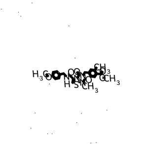 COC(=O)c1ccc(CN2C(=O)N(C)C3SC=C(C(=O)NCc4ccc(OC)cc4)N3C2=O)cc1C